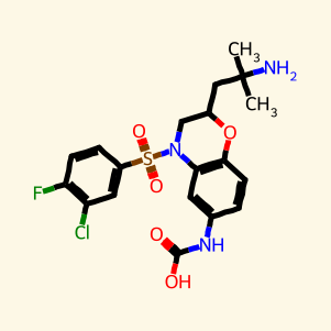 CC(C)(N)CC1CN(S(=O)(=O)c2ccc(F)c(Cl)c2)c2cc(NC(=O)O)ccc2O1